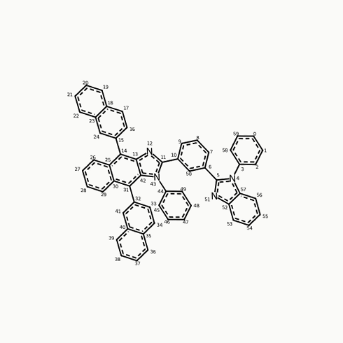 c1ccc(-n2c(-c3cccc(-c4nc5c(-c6ccc7ccccc7c6)c6ccccc6c(-c6ccc7ccccc7c6)c5n4-c4ccccc4)c3)nc3ccccc32)cc1